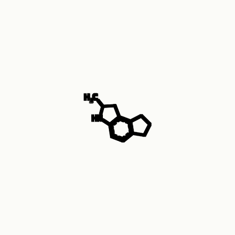 CC1Cc2c(ccc3c2CCC3)N1